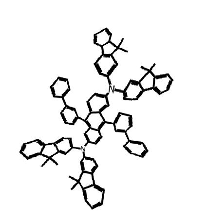 CC1(C)c2ccccc2-c2ccc(N(c3ccc4c(c3)C(C)(C)c3ccccc3-4)c3ccc4c(-c5cccc(-c6ccccc6)c5)c5cc(N(c6ccc7c(c6)C(C)(C)c6ccccc6-7)c6ccc7c(c6)C(C)(C)C6C=CC=CC76)ccc5c(-c5cccc(-c6ccccc6)c5)c4c3)cc21